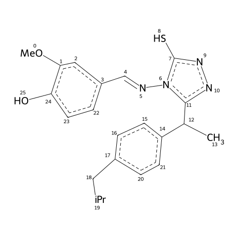 COc1cc(/C=N/n2c(S)nnc2C(C)c2ccc(CC(C)C)cc2)ccc1O